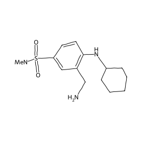 CNS(=O)(=O)c1ccc(NC2CCCCC2)c(CN)c1